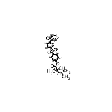 CN(C)CC(C)(C)C(=O)Oc1ccc(S(=O)(=O)c2ccc(S(N)(=O)=O)s2)cc1